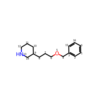 c1ccc(COCCCC2CCCNC2)cc1